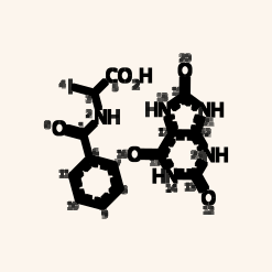 O=C(NC(I)C(=O)O)c1ccccc1.O=c1[nH]c(=O)c2[nH]c(=O)[nH]c2[nH]1